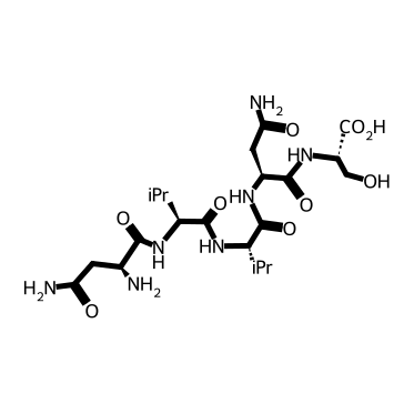 CC(C)[C@H](NC(=O)[C@@H](NC(=O)[C@@H](N)CC(N)=O)C(C)C)C(=O)N[C@@H](CC(N)=O)C(=O)N[C@@H](CO)C(=O)O